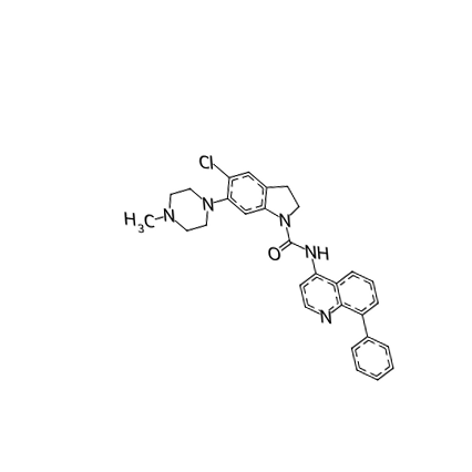 CN1CCN(c2cc3c(cc2Cl)CCN3C(=O)Nc2ccnc3c(-c4ccccc4)cccc23)CC1